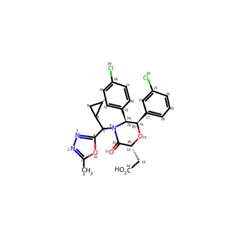 Cc1nnc(C(C2CC2)N2C(=O)[C@@H](CC(=O)O)O[C@H](c3cccc(Cl)c3)[C@@H]2c2ccc(Cl)cc2)o1